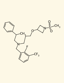 CC(CN(CCCOC1CN(S(C)(=O)=O)C1)Cc1cccc(C(F)(F)F)c1F)c1ccccc1